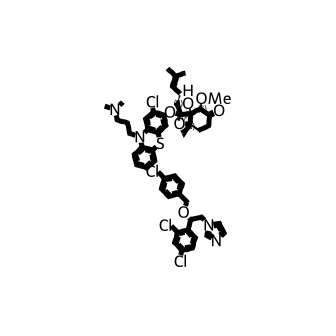 CN(C)CCCN1c2ccccc2Sc2ccc(Cl)cc21.CO[C@@H]1C(=O)CC[C@]2(CO2)[C@@]1(O)[C@]1(C)O[C@@H]1CC=C(C)C.Clc1ccc(COC(Cn2ccnc2)c2ccc(Cl)cc2Cl)cc1